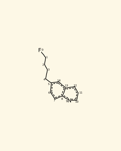 FCCCCc1ccc2ncccc2c1